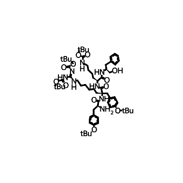 CC(C)(C)OC(=O)N=C(NCCCCCC[C@@](Cc1ccc(OC(C)(C)C)cc1)(NC(=O)[C@@H](N)Cc1ccc(OC(C)(C)C)cc1)C(=O)N[C@@H](CCCCNC(=O)OC(C)(C)C)C(=O)N[C@H](CO)Cc1ccccc1)NC(=O)OC(C)(C)C